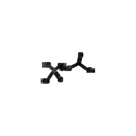 COC(=O)C(C)(C)C.O=P(O)(O)O